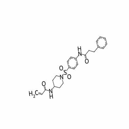 C=CC(=O)NC1CCN(S(=O)(=O)c2ccc(NC(=O)CCc3ccccc3)cc2)CC1